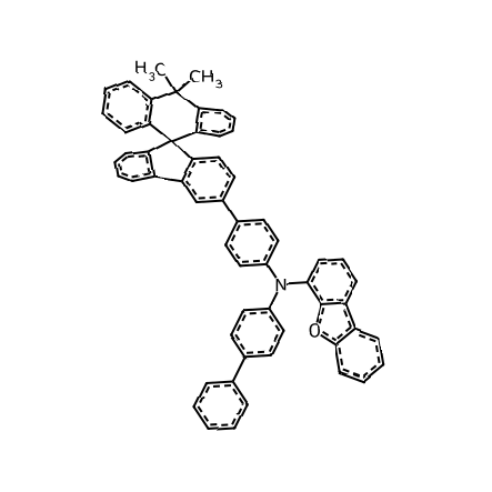 CC1(C)c2ccccc2C2(c3ccccc3-c3cc(-c4ccc(N(c5ccc(-c6ccccc6)cc5)c5cccc6c5oc5ccccc56)cc4)ccc32)c2ccccc21